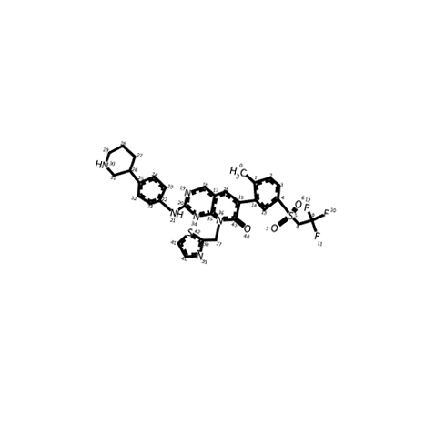 Cc1ccc(S(=O)(=O)CC(F)(F)F)cc1-c1cc2cnc(Nc3ccc(C4CCCNC4)cc3)nc2n(Cc2nccs2)c1=O